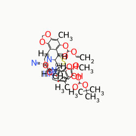 C=COC(=O)Oc1c(C)c2c(c3c1[C@H]1SC[C@]4(NCCc5cc(OC(=O)OC(C)(C)C)c(OC)cc54)C(=O)OC[C@@H]3N3C1[C@@H]1c4c(cc(C)c(O)c4O)C[C@@H]([C@@H]3C#N)N1C)OCO2